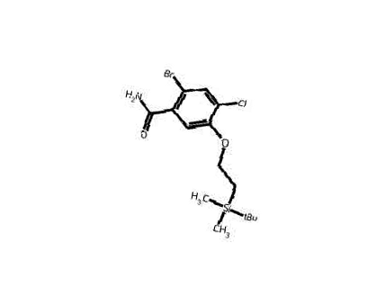 CC(C)(C)[Si](C)(C)CCOc1cc(C(N)=O)c(Br)cc1Cl